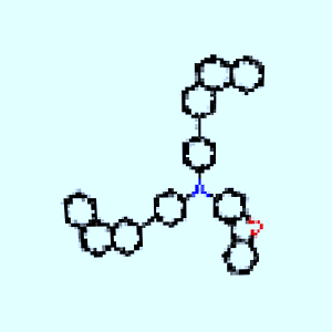 c1ccc2c(c1)ccc1ccc(-c3ccc(N(c4ccc(-c5ccc6ccc7ccccc7c6c5)cc4)c4ccc5oc6ccccc6c5c4)cc3)cc12